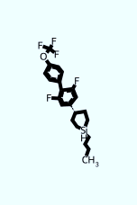 CCCC[Si@H]1CC[C@H](c2cc(F)c(-c3ccc(OC(F)(F)F)cc3)c(F)c2)CC1